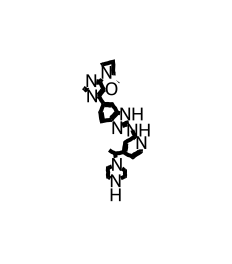 COc1c(-c2ccc3nc(Nc4cc(C(C)N5CCNCC5)ccn4)[nH]c3c2)ncnc1N1CCC1